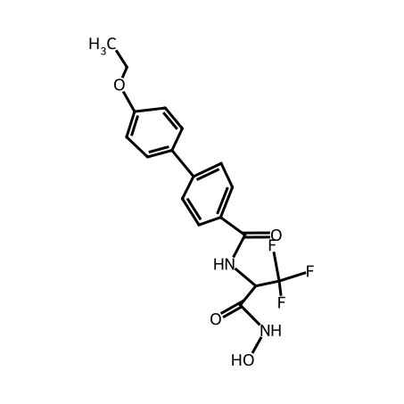 CCOc1ccc(-c2ccc(C(=O)NC(C(=O)NO)C(F)(F)F)cc2)cc1